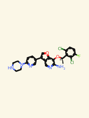 C[C@@H](Oc1c(N)ncc2c(-c3ccc(N4CCNCC4)nc3)coc12)c1c(Cl)ccc(F)c1Cl